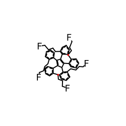 FCCCCc1ccccc1C1=C(c2ccccc2CCCCF)C(c2ccccc2CCCCF)C(c2ccccc2CCCCF)=C1c1ccccc1CCCCF